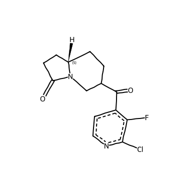 O=C(c1ccnc(Cl)c1F)C1CC[C@H]2CCC(=O)N2C1